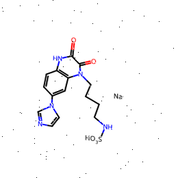 O=c1[nH]c2ccc(-n3ccnc3)cc2n(CCCCNS(=O)(=O)O)c1=O.[Na]